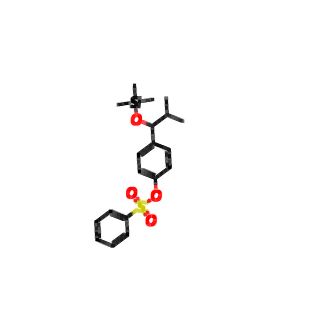 CC(C)C(O[Si](C)(C)C)c1ccc(OS(=O)(=O)c2ccccc2)cc1